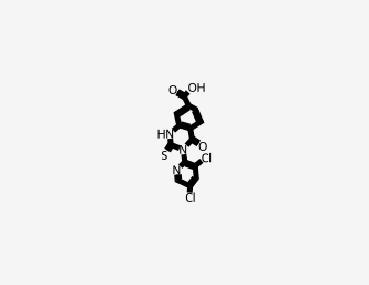 O=C(O)c1ccc2c(=O)n(-c3ncc(Cl)cc3Cl)c(=S)[nH]c2c1